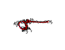 CCCOCCOCCOCCOCCOCCOCCNC(=O)OC1CC[C@@H](C[C@@H](N)[C@@H]2CC(=O)[C@H](C)/C=C(\C)[C@@H](O)[C@@H](O)C(=O)[C@H](C)C[C@H](C)/C=C/C=C/C=C(\C)[C@@H](OC)C[C@@H]3CC[C@@H](C)[C@@](O)(O3)C(=O)C(=O)N3CCCC[C@H]3C(=O)O2)C[C@H]1OC